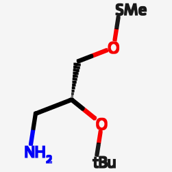 CSOC[C@@H](CN)OC(C)(C)C